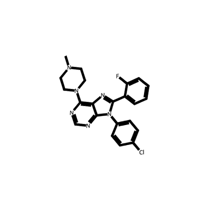 CN1CCN(c2ncnc3c2nc(-c2ccccc2F)n3-c2ccc(Cl)cc2)CC1